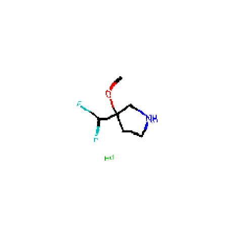 COC1(C(F)F)CCNC1.Cl